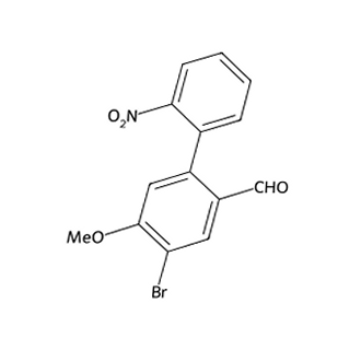 COc1cc(-c2ccccc2[N+](=O)[O-])c(C=O)cc1Br